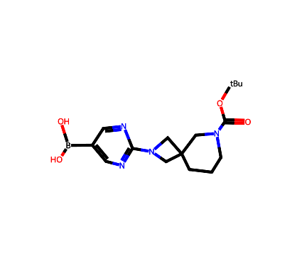 CC(C)(C)OC(=O)N1CCCC2(C1)CN(c1ncc(B(O)O)cn1)C2